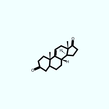 C[C@]12CCC(=O)CC1CC[C@@H]1C2=CC[C@]2(C)C(=O)CC[C@@H]12